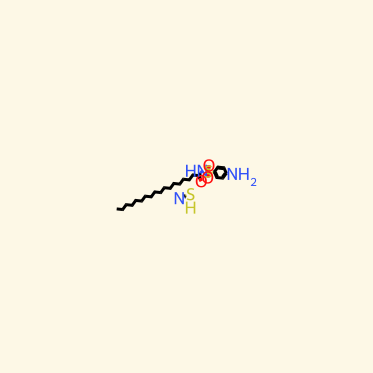 CCCCCCCCCCCCCCCCCC(=O)NS(=O)(=O)c1ccc(N)cc1.N#CS